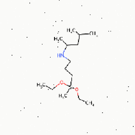 CCO[Si](C)(CCCNC(C)CC(C)C)OCC